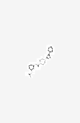 CC(=O)Nc1cccc(NC(=O)N2CCN(c3nc(-c4ccccc4)cs3)CC2)c1